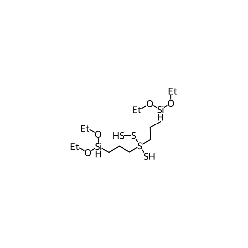 CCO[SiH](CCCS(S)(CCC[SiH](OCC)OCC)SS)OCC